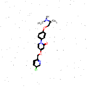 CC(C)N(C)[C@H](C)COc1ccc(-n2ccc(OCc3ccc(Cl)cn3)cc2=O)cc1